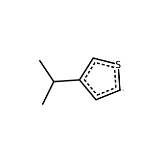 CC(C)c1c[c]sc1